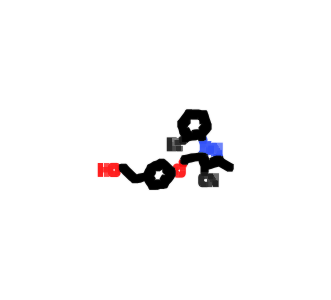 CCc1ccccc1-n1nc(C)c(C#N)c1COc1ccc(CCO)cc1